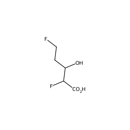 O=C(O)C(F)C(O)CCF